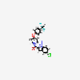 CC(F)(F)c1ccc(OC2CCN(C(=O)c3cc4cc(Cl)ccc4[nH]3)CC2)cc1